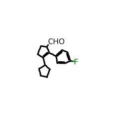 O=CC1CCC(C2CCCC2)=C1c1ccc(F)cc1